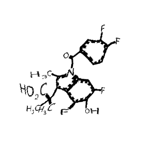 Cc1c(C(C)(C)C(=O)O)c2c(F)c(O)c(F)cc2n1C(=O)c1ccc(F)c(F)c1